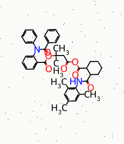 Cc1cc(C)c(NC(=O)C2CCCCC2C(=O)OC(=O)CC(C)(C)OC(=O)c2ccccc2N(C(=O)c2ccccc2)c2ccccc2)c(C)c1